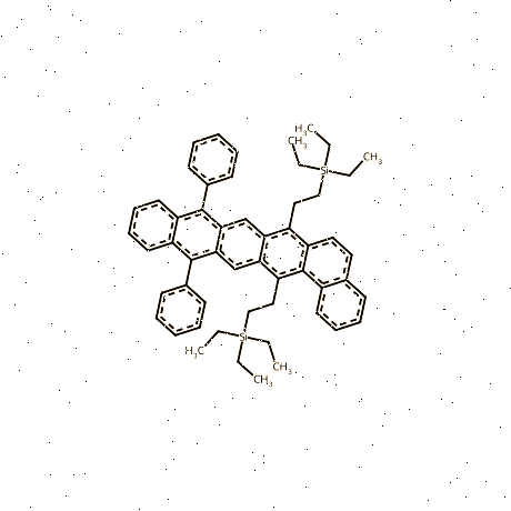 CC[Si](CC)(CC)CCc1c2cc3c(-c4ccccc4)c4ccccc4c(-c4ccccc4)c3cc2c(CC[Si](CC)(CC)CC)c2c1ccc1ccccc12